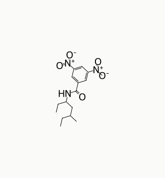 CCC(C)CC(CC)NC(=O)c1cc([N+](=O)[O-])cc([N+](=O)[O-])c1